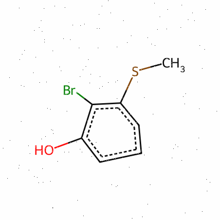 CSc1cccc(O)c1Br